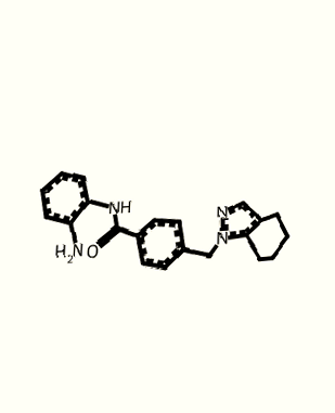 Nc1ccccc1NC(=O)c1ccc(Cn2ncc3c2CCCC3)cc1